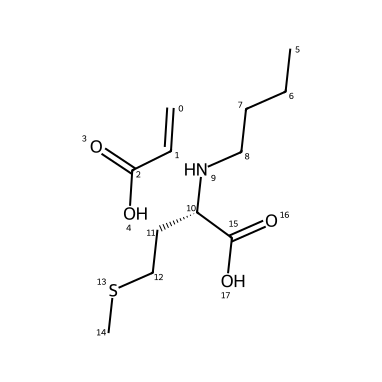 C=CC(=O)O.CCCCN[C@@H](CCSC)C(=O)O